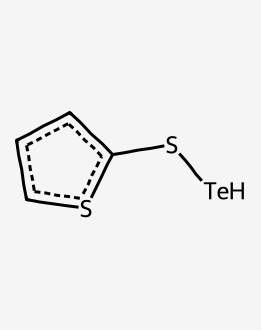 [TeH]Sc1cccs1